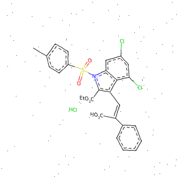 CCOC(=O)c1c(C=C(C(=O)O)c2ccccc2)c2c(Cl)cc(Cl)cc2n1S(=O)(=O)c1ccc(C)cc1.Cl